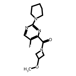 COC1CN(C(=O)c2nc(N3CCCCC3)ncc2F)C1